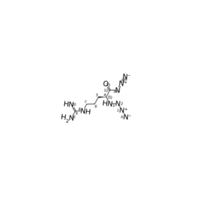 [N-]=[N+]=NN[C@@H](CCCNC(=N)N)C(=O)N=[N+]=[N-]